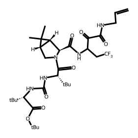 C=CCNC(=O)C(=O)C(CC(F)(F)F)NC(=O)[C@@H]1[C@@H]2[C@H](CN1C(=O)[C@@H](NC(=O)N[C@H](C(=O)OC(C)(C)C)C(C)(C)C)C(C)(C)C)C2(C)C